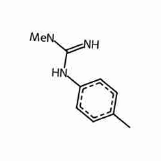 CNC(=N)Nc1ccc(C)cc1